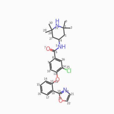 CC1(C)CC(NC(=O)c2ccc(Oc3ccccc3-c3ncco3)c(Cl)c2)CC(C)(C)N1